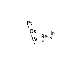 [Ir].[Os].[Pt].[Re].[W]